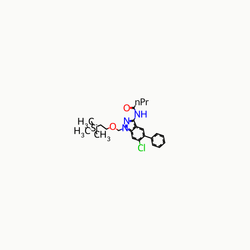 CCCC(=O)Nc1nn(COCC[Si](C)(C)C)c2cc(Cl)c(-c3ccccc3)cc12